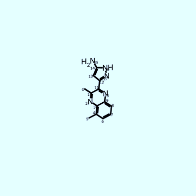 Cc1nc2c(C)cccc2nc1-c1cc(N)[nH]n1